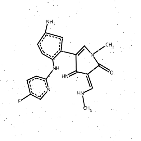 CN/C=C1\C(=N)C(c2cc(N)ccc2Nc2ccc(F)cn2)=CN(C)C1=O